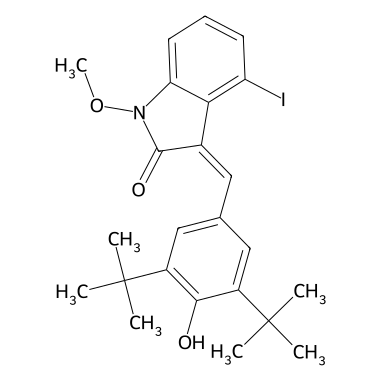 CON1C(=O)C(=Cc2cc(C(C)(C)C)c(O)c(C(C)(C)C)c2)c2c(I)cccc21